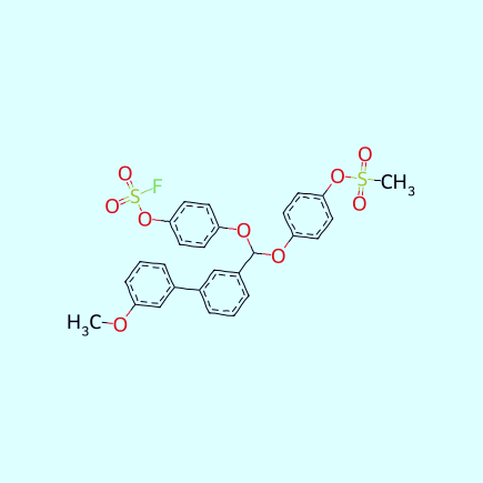 COc1cccc(-c2cccc(C(Oc3ccc(OS(C)(=O)=O)cc3)Oc3ccc(OS(=O)(=O)F)cc3)c2)c1